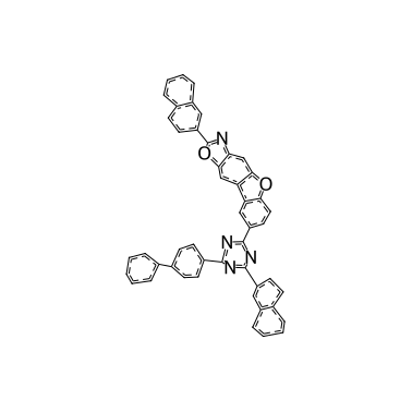 c1ccc(-c2ccc(-c3nc(-c4ccc5ccccc5c4)nc(-c4ccc5oc6cc7nc(-c8ccc9ccccc9c8)oc7cc6c5c4)n3)cc2)cc1